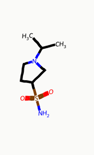 CC(C)N1CCC(S(N)(=O)=O)C1